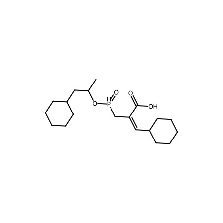 CC(CC1CCCCC1)O[PH](=O)CC(=CC1CCCCC1)C(=O)O